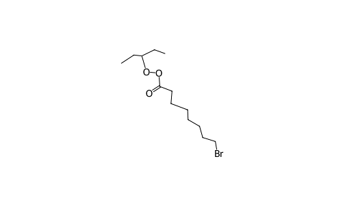 CCC(CC)OOC(=O)CCCCCCCBr